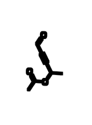 CC(=O)OC(C)C#CC=O